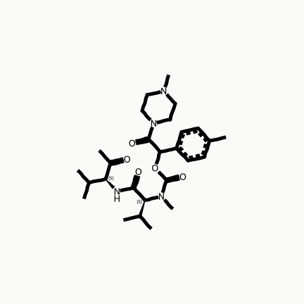 CC(=O)[C@@H](NC(=O)[C@H](C(C)C)N(C)C(=O)OC(C(=O)N1CCN(C)CC1)c1ccc(C)cc1)C(C)C